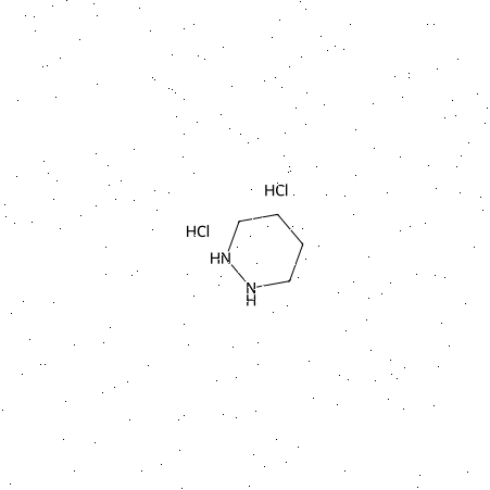 C1CCNNC1.Cl.Cl